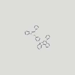 c1ccc(-c2nc(-c3ccc(-n4c5ccccc5c5c6ccccc6c6c7ccccc7sc6c54)cc3)nc3c2sc2ccccc23)cc1